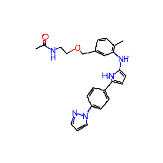 CC(=O)NCCOCc1ccc(C)c(Nc2ccc(-c3ccc(-n4cccn4)cc3)[nH]2)c1